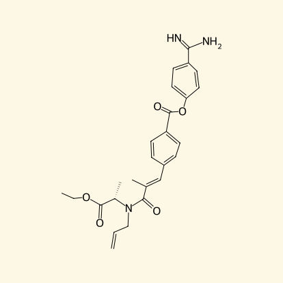 C=CCN(C(=O)/C(C)=C/c1ccc(C(=O)Oc2ccc(C(=N)N)cc2)cc1)[C@@H](C)C(=O)OCC